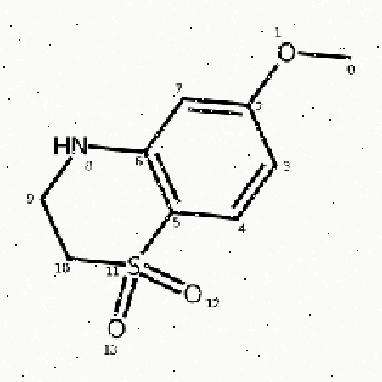 COc1ccc2c(c1)NCCS2(=O)=O